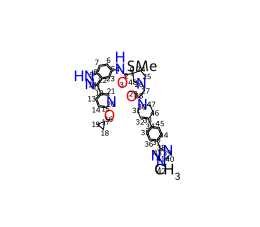 CSC1(C(=O)Nc2ccc3[nH]nc(-c4ccc(OC5CC5)nc4)c3c2)CCN(CC(=O)N2CC=C(c3ccc(-c4ncn(C)n4)cc3)CC2)C1